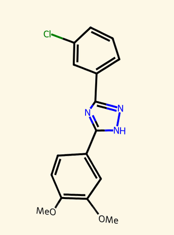 COc1ccc(-c2nc(-c3cccc(Cl)c3)n[nH]2)cc1OC